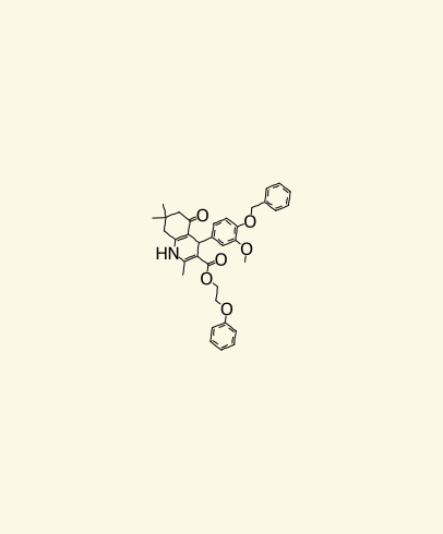 COc1cc(C2C(C(=O)OCCOc3ccccc3)=C(C)NC3=C2C(=O)CC(C)(C)C3)ccc1OCc1ccccc1